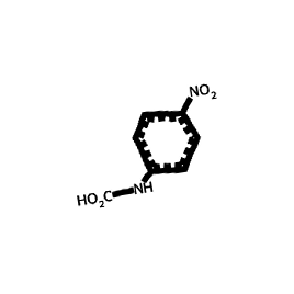 O=C(O)Nc1ccc([N+](=O)[O-])cc1